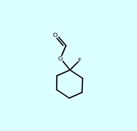 O=COC1(F)CCCCC1